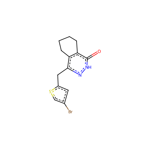 O=c1[nH]nc(Cc2cc(Br)cs2)c2c1CCCC2